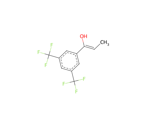 CC=C(O)c1cc(C(F)(F)F)cc(C(F)(F)F)c1